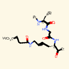 CCC(=O)[C@H](CCCCNC(=O)CCC(=O)O)NC(=O)CNC(=O)[C@@H](NC(C)C)C(C)CC